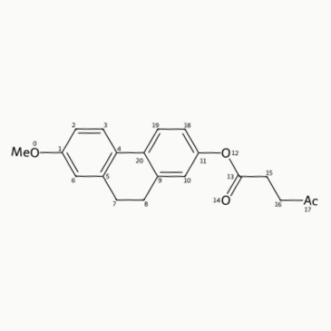 COc1ccc2c(c1)CCc1cc(OC(=O)CCC(C)=O)ccc1-2